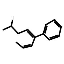 C/C=C\C(=C/CC(C)I)c1ccccc1